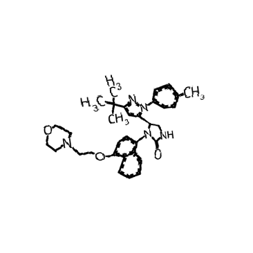 Cc1ccc(-n2nc(C(C)(C)C)cc2C2CNC(=O)N2c2ccc(OCCN3CCOCC3)c3ccccc23)cc1